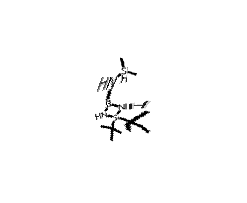 C[SiH](C)NB1N[Si](C(C)(C)C)(C(C)(C)C)N1